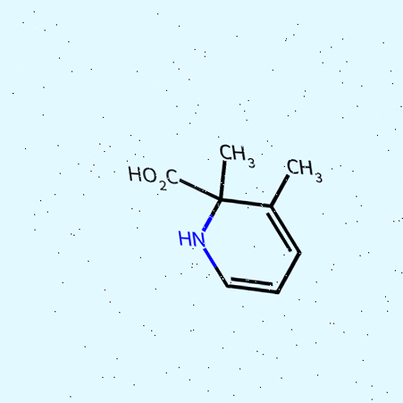 CC1=CC=CNC1(C)C(=O)O